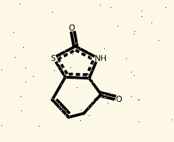 O=C1CC=Cc2sc(=O)[nH]c21